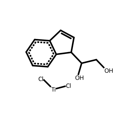 OCC(O)C1C=Cc2ccccc21.[Cl][Ti][Cl]